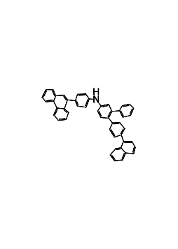 c1ccc(-c2cc(Nc3ccc(-c4cc5ccccc5c5ccccc45)cc3)ccc2-c2ccc(-c3cccc4ccccc34)cc2)cc1